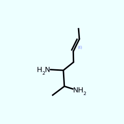 C/C=C/CC(N)C(C)N